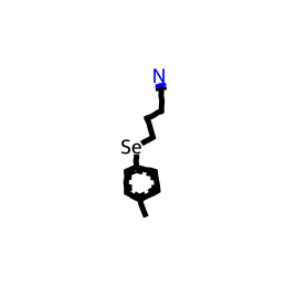 Cc1ccc([Se]CCCC#N)cc1